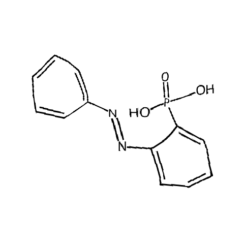 O=P(O)(O)c1ccccc1/N=N/c1ccccc1